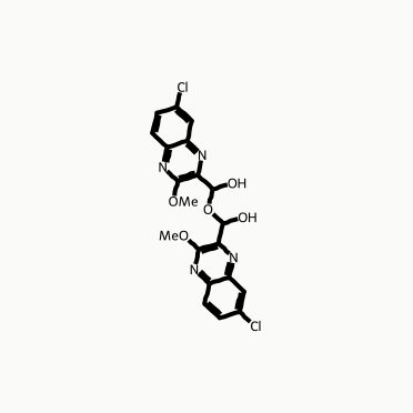 COc1nc2ccc(Cl)cc2nc1C(O)OC(O)c1nc2cc(Cl)ccc2nc1OC